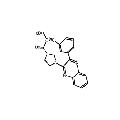 CC(C)(C)OC(=O)C1CCN(c2nc3ccccc3nc2-c2cccc(C#N)c2)C1